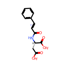 O=C(O)C[C@H](NC(=O)/C=C/c1ccccc1)C(=O)O